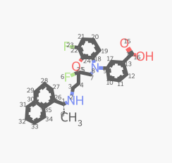 C[C@@H](NCCC1(F)CN(c2cccc(C(=O)O)c2)c2cccc(F)c2O1)c1cccc2ccccc12